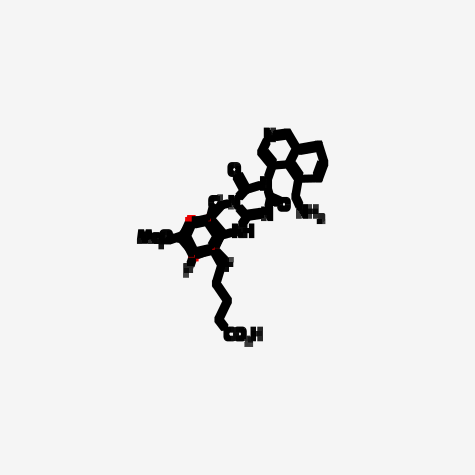 COc1cc(Cl)c(Nc2nc(=O)n(-c3cncc4cccc(CN)c34)c(=O)n2Cc2cc(F)c(F)c(F)c2)c(CCCCC(=O)O)c1